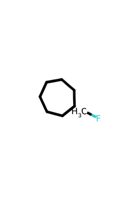 C1CCCCCC1.CF